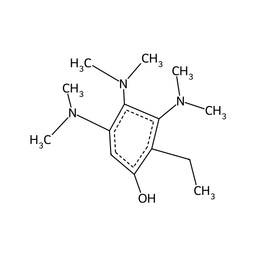 CCc1c(O)cc(N(C)C)c(N(C)C)c1N(C)C